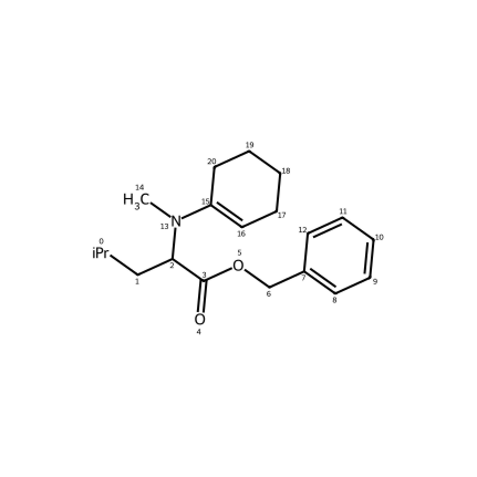 CC(C)CC(C(=O)OCc1ccccc1)N(C)C1=CCCCC1